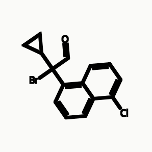 O=CC(Br)(c1cccc2c(Cl)cccc12)C1CC1